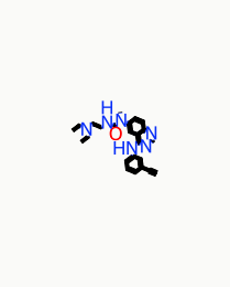 C#Cc1cccc(Nc2ncnc3ccc(N(C)C(=O)NCCN(CC)CC)cc23)c1